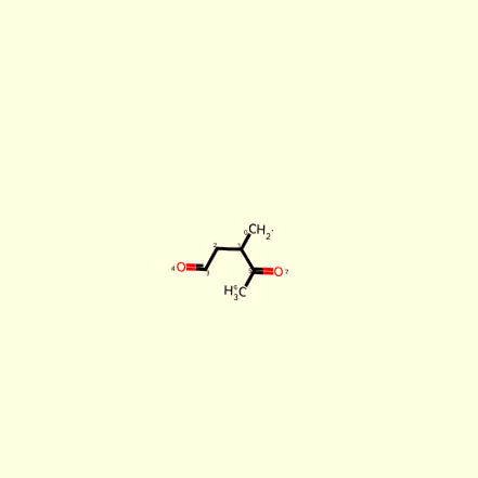 [CH2]C(CC=O)C(C)=O